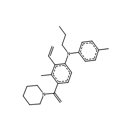 C=Cc1c(N(CCC)c2ccc(C)cc2)ccc(C(=C)N2CCCCC2)c1C